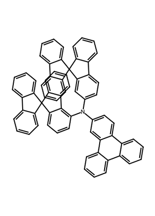 c1ccc2c(c1)-c1ccccc1C21c2ccccc2-c2ccc(N(c3ccc4c5ccccc5c5ccccc5c4c3)c3cccc4c3-c3ccccc3C43c4ccccc4-c4ccccc43)cc21